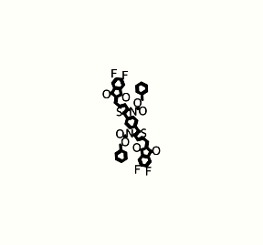 O=C1C(=Cc2cc3c(s2)c2cc4c(cc2n3C(=O)OCc2ccccc2)c2sc(C=C3C(=O)c5cc(F)c(F)cc5C3=O)cc2n4C(=O)OCc2ccccc2)C(=O)c2cc(F)c(F)cc21